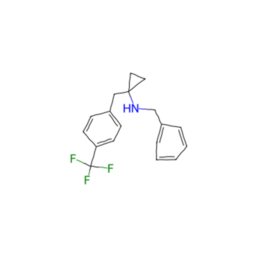 FC(F)(F)c1ccc(CC2(NCc3ccccc3)CC2)cc1